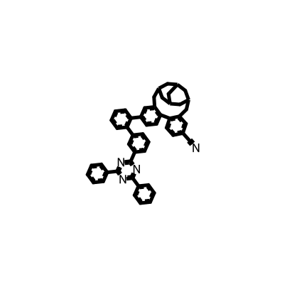 N#Cc1ccc2c(c1)CC1CC3CC(Cc4cc(-c5ccccc5-c5cccc(-c6nc(-c7ccccc7)nc(-c7ccccc7)n6)c5)ccc4-2)CC(C1)C3